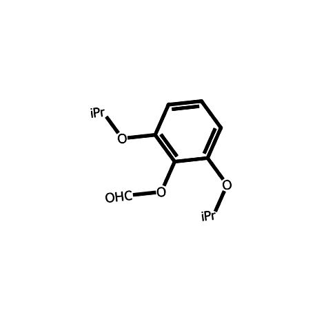 CC(C)Oc1cccc(OC(C)C)c1OC=O